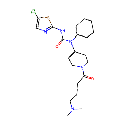 CN(C)CCCC(=O)N1CCC(N(C(=O)Nc2ncc(Cl)s2)C2CCCCC2)CC1